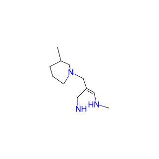 CN/C=C(\C=N)CN1CCCC(C)C1